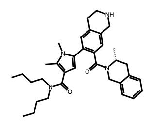 CCCCN(CCCC)C(=O)c1cc(-c2cc3c(cc2C(=O)N2Cc4ccccc4C[C@H]2C)CNCC3)n(C)c1C